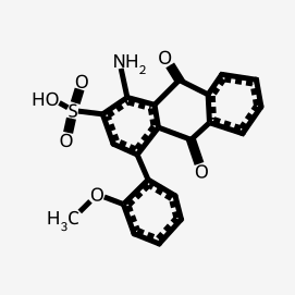 COc1ccccc1-c1cc(S(=O)(=O)O)c(N)c2c1C(=O)c1ccccc1C2=O